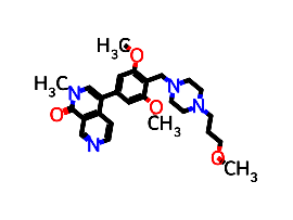 COCCCN1CCN(Cc2c(OC)cc(-c3cn(C)c(=O)c4cnccc34)cc2OC)CC1